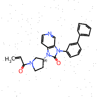 C=CC(=O)N1CC[C@@H](n2c(=O)n(-c3cccc(-c4ccccc4)c3)c3cnccc32)C1